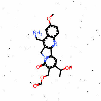 COc1ccc2nc3c(c(CN)c2c1)Cn1c-3cc(C(C)O)c(COC=O)c1=O